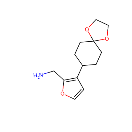 NCc1occc1C1CCC2(CC1)OCCO2